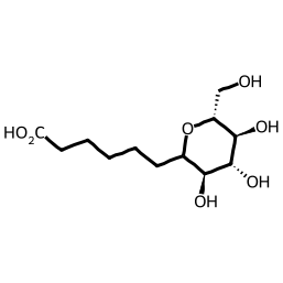 O=C(O)CCCCCC1O[C@H](CO)[C@@H](O)[C@H](O)[C@H]1O